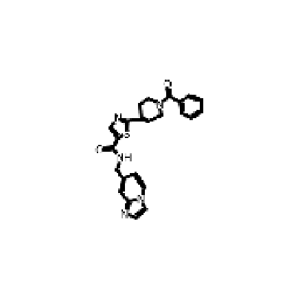 O=C(NCc1ccn2ccnc2c1)c1cnc(C2=CCN(C(=O)c3ccccc3)CC2)s1